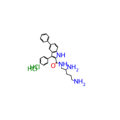 Cl.Cl.NCCCC(N)CNC(=O)c1[nH]c2ccc(-c3ccccc3)cc2c1-c1ccccc1